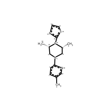 Cc1ccc(N2C[C@@H](C)N(c3nccs3)[C@@H](C)C2)nc1